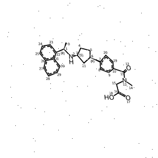 C[C@@H](N[C@H]1CC[C@@H](c2ccc(C(=O)N(C)CC(=O)O)cc2)C1)c1cccc2ccccc12